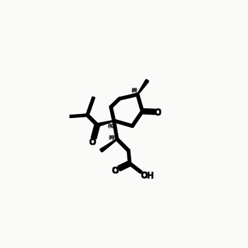 CC(C)C(=O)[C@@]1([C@H](C)CC(=O)O)CC[C@@H](C)C(=O)C1